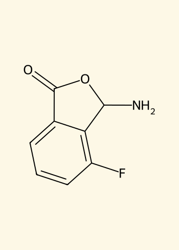 NC1OC(=O)c2cccc(F)c21